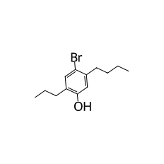 CCCCc1cc(O)c(CCC)cc1Br